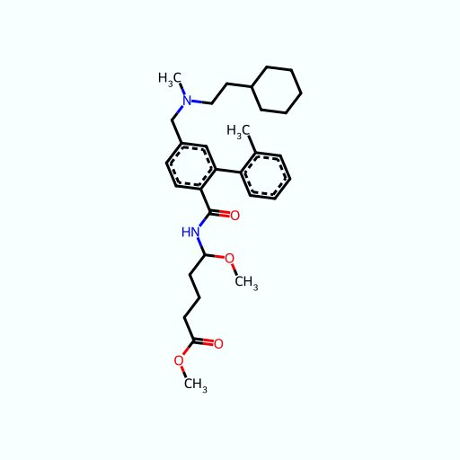 COC(=O)CCCC(NC(=O)c1ccc(CN(C)CCC2CCCCC2)cc1-c1ccccc1C)OC